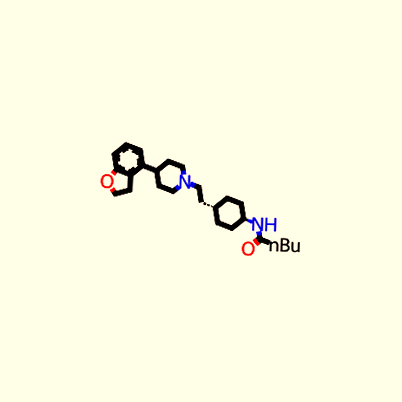 CCCCC(=O)N[C@H]1CC[C@H](CCN2CCC(c3cccc4c3CCO4)CC2)CC1